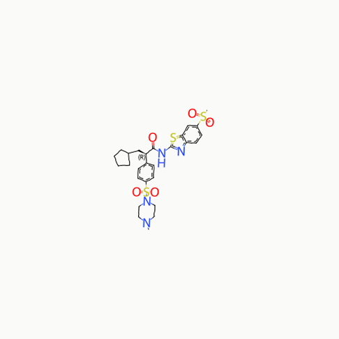 CN1CCN(S(=O)(=O)c2ccc([C@@H](CC3CCCC3)C(=O)Nc3nc4ccc(S(C)(=O)=O)cc4s3)cc2)CC1